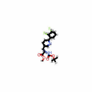 COC(=O)/C(=C/c1ccc(-c2cccc(F)c2F)nc1)NC(=O)OC(C)(C)C